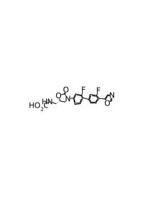 O=C(O)NC[C@H]1CN(c2ccc(-c3ccc(-c4cnco4)c(F)c3)c(F)c2)C(=O)O1